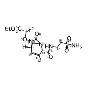 CCOC(=O)[C@H](F)ON1C(=O)N2C[C@@H]1C=C(C)[C@H]2C(=O)NCCS(N)(=O)=O